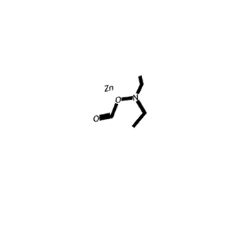 CCN(CC)OC=O.[Zn]